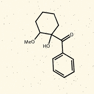 COC1CCCCC1(O)C(=O)c1ccccc1